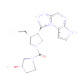 CC[C@@H]1CN(C(=O)N2CC[C@@H](O)C2)C[C@@H]1c1nnc2cnc3[nH]ccc3n12